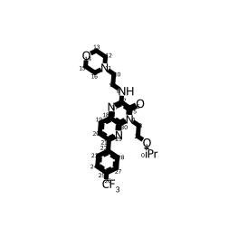 CC(C)OCCn1c(=O)c(NCCN2CCOCC2)nc2ccc(-c3ccc(C(F)(F)F)cc3)nc21